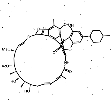 CO[C@H]1/C=C/O[C@@]2(C)Oc3c(C)c(O)c4c(=O)c(c5oc6cc(N7CCC(C)CC7)cc(O)c6nc-5c4c3C2=O)NC(=O)/C(C)=C\C=C\[C@H](C)[C@H](O)[C@@H](C)[C@@H](O)[C@@H](C)[C@H](OC(C)=O)[C@@H]1C